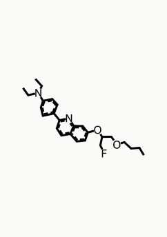 CCCCOCC(CF)Oc1ccc2ccc(-c3ccc(N(CC)CC)cc3)nc2c1